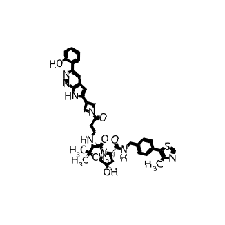 Cc1ncsc1-c1ccc(CNC(=O)[C@@H]2C[C@@H](O)CN2C(=O)[C@@H](NCCC(=O)N2CC(c3cc4cc(-c5ccccc5O)nnc4[nH]3)C2)C(C)(C)C)cc1